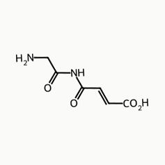 NCC(=O)NC(=O)C=CC(=O)O